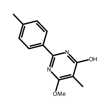 COc1nc(-c2ccc(C)cc2)nc(O)c1C